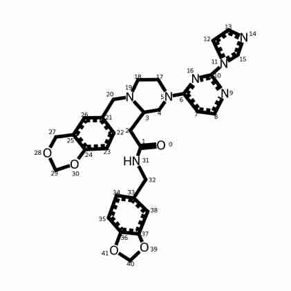 O=C(CC1CN(c2ccnc(-n3ccnc3)n2)CCN1Cc1ccc2c(c1)COCO2)NCc1ccc2c(c1)OCO2